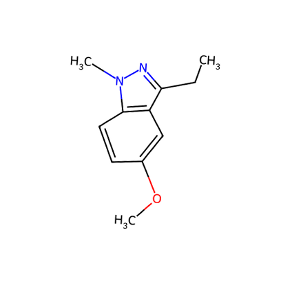 CCc1nn(C)c2ccc(OC)cc12